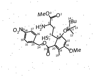 COC(=O)C(N)C[C@@H](S)c1c(O[Si](C)(C)C(C)(C)C)cc(OC)c(C)c1C(=O)OCc1ccc([N+](=O)[O-])cc1